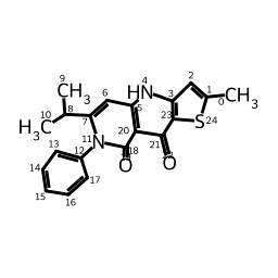 Cc1cc2[nH]c3cc(C(C)C)n(-c4ccccc4)c(=O)c3c(=O)c2s1